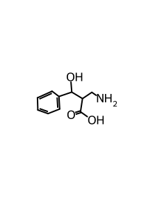 NCC(C(=O)O)C(O)c1ccccc1